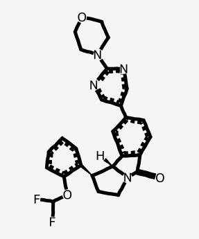 O=C1c2ccc(-c3cnc(N4CCOCC4)nc3)cc2[C@H]2[C@H](c3ccccc3OC(F)F)CCN12